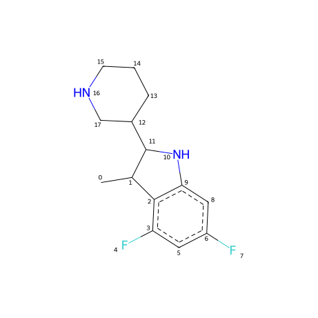 CC1c2c(F)cc(F)cc2NC1C1CCCNC1